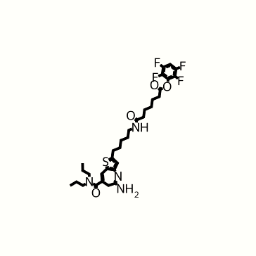 CCCN(CCC)C(=O)C1=Cc2sc(CCCCCNC(=O)CCCCCC(=O)Oc3c(F)c(F)cc(F)c3F)cc2N=C(N)C1